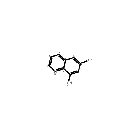 N#Cc1cc(F)cc2cccnc12